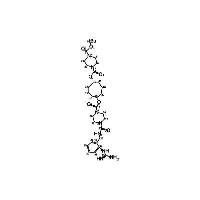 CC(C)(C)OC(=O)N1CCN(C(=O)O[C@H]2CCC[C@@H](OC(=O)N3CCN(C(=O)NCc4ccccc4NC(=N)N)CC3)CCC2)CC1